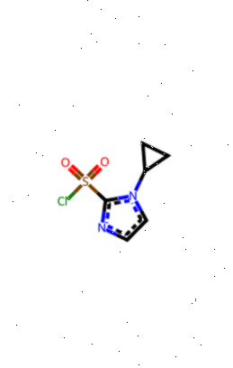 O=S(=O)(Cl)c1nccn1C1CC1